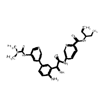 CCC(CC)NC(=O)c1ccc(NC(=O)C(=N)c2cc(-c3cncc(NC(=O)N(C)C)c3)ccc2N)cn1